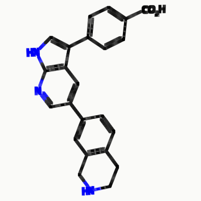 O=C(O)c1ccc(-c2c[nH]c3ncc(-c4ccc5c(c4)CNCC5)cc23)cc1